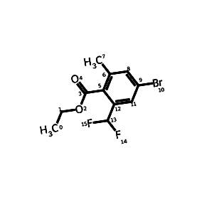 CCOC(=O)c1c(C)cc(Br)cc1C(F)F